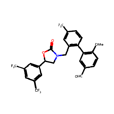 COc1ccc(C=O)cc1-c1ccc(C(F)(F)F)cc1CN1CC(c2cc(C(F)(F)F)cc(C(F)(F)F)c2)OC1=O